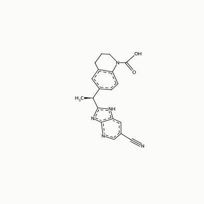 C[C@@H](c1ccc2c(c1)CCCN2C(=O)O)c1nc2ncc(C#N)cc2[nH]1